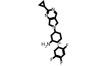 NC1CC(N2Cc3cnc(C4CC4)nc3C2)CC[C@@H]1C1CC(F)=C(F)C=C1F